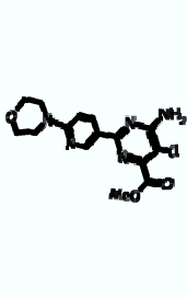 COC(=O)c1nc(-c2ccc(N3CCOCC3)nc2)nc(N)c1Cl